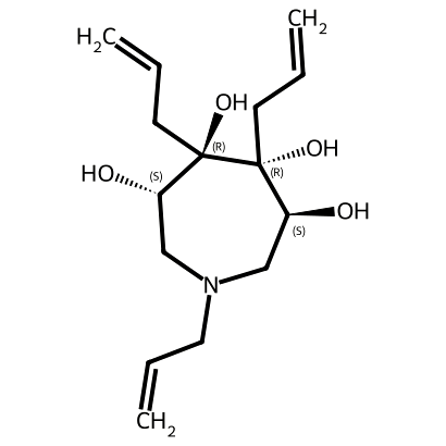 C=CCN1C[C@H](O)[C@](O)(CC=C)[C@@](O)(CC=C)[C@@H](O)C1